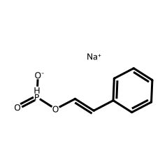 O=[PH]([O-])OC=Cc1ccccc1.[Na+]